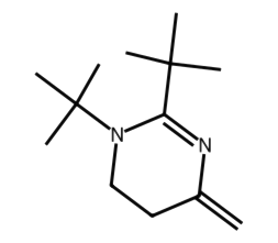 C=C1CCN(C(C)(C)C)C(C(C)(C)C)=N1